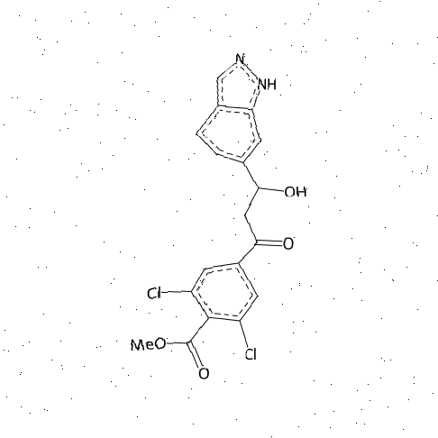 COC(=O)c1c(Cl)cc(C(=O)CC(O)c2ccc3cn[nH]c3c2)cc1Cl